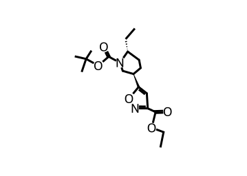 CCOC(=O)c1cc([C@@H]2CC[C@@H](CC)N(C(=O)OC(C)(C)C)C2)on1